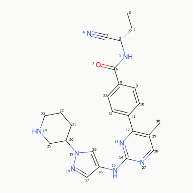 CC[C@@H](C#N)NC(=O)c1ccc(-c2nc(Nc3cnn(C4CCCNC4)c3)ncc2C)cc1